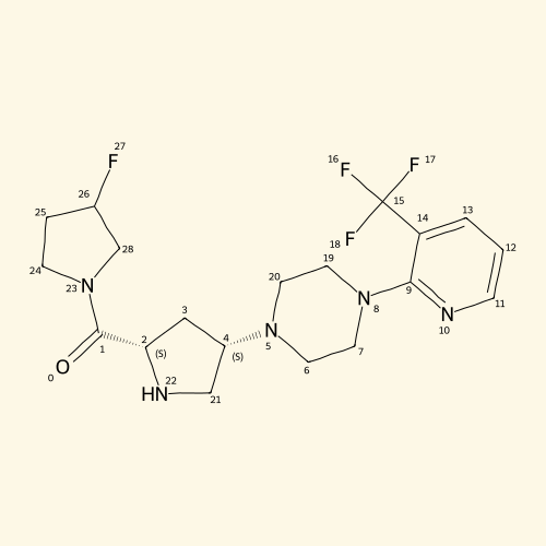 O=C([C@@H]1C[C@H](N2CCN(c3ncccc3C(F)(F)F)CC2)CN1)N1CCC(F)C1